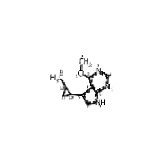 COc1ncnc2[nH]cc(C3CC3C)c12